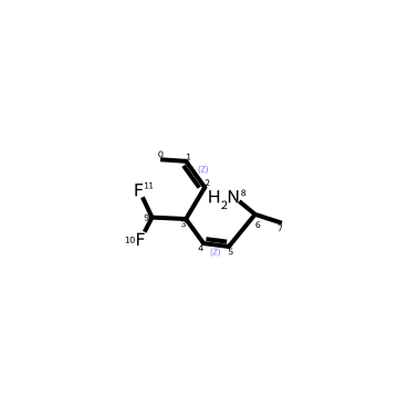 C/C=C\C(/C=C\C(C)N)C(F)F